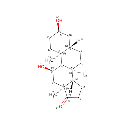 C[C@]12C[C@@H](O)C3[C@@H](CC[C@H]4C[C@H](O)CC[C@]34C)[C@@H]1CCC2=O